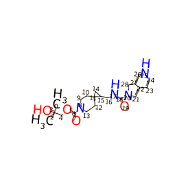 CC(C)(O)COC(=O)N1CCC2(CC1)CC2CNC(=O)N1C=C2C=CNC=C2C1